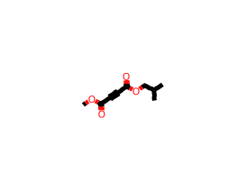 COC(=O)C#CC(=O)OCC(C)C